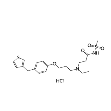 CCN(CCCOc1ccc(Cc2ccsc2)cc1)CCC(=O)NS(C)(=O)=O.Cl